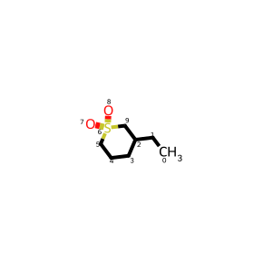 CCC1CCCS(=O)(=O)C1